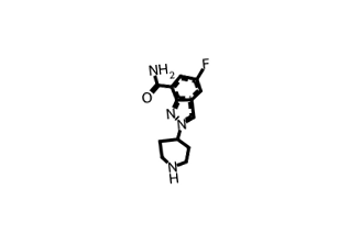 NC(=O)c1cc(F)cc2cn(C3CCNCC3)nc12